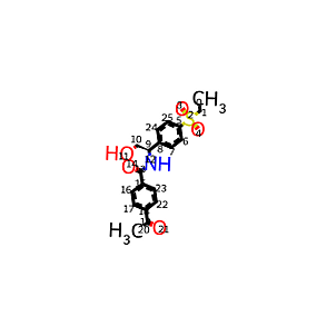 CCS(=O)(=O)c1ccc([C@H](CO)NC(=O)c2ccc(C(C)=O)cc2)cc1